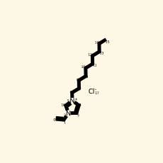 C=Cn1cc[n+](CCCCCCCCCC)c1.[Cl-]